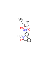 CCCCC[C@H](O)[C@@H](CC1CC1)C(=O)Nc1ccc2c(c1)N(C)C(=O)Cc1ccccc1-2